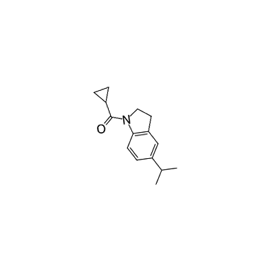 CC(C)c1ccc2c(c1)CCN2C(=O)C1CC1